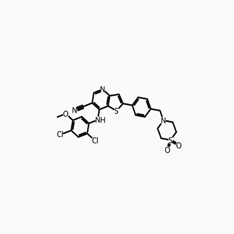 COc1cc(Nc2c(C#N)cnc3cc(-c4ccc(CN5CCS(=O)(=O)CC5)cc4)sc23)c(Cl)cc1Cl